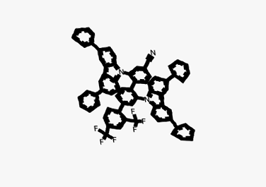 N#Cc1ccc(-c2ccc(-c3ccc(C(F)(F)F)cc3C(F)(F)F)cc2-n2c3ccc(-c4ccccc4)cc3c3cc(-c4ccccc4)ccc32)c(-n2c3ccc(-c4ccccc4)cc3c3cc(-c4ccccc4)ccc32)c1